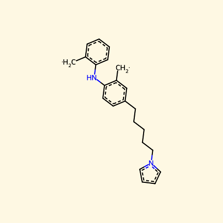 [CH2]c1ccccc1Nc1ccc(CCCCCn2cccc2)cc1[CH2]